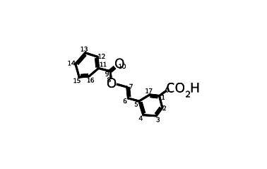 O=C(O)c1cccc(C=COC(=O)c2ccccc2)c1